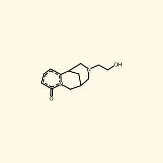 O=c1cccc2n1CC1CC2CN(CCO)C1